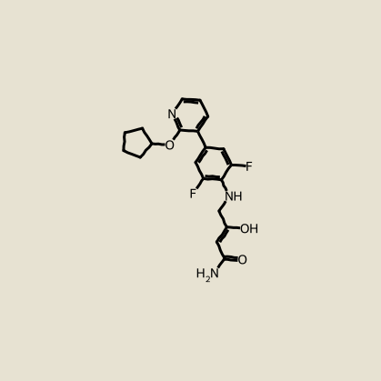 NC(=O)/C=C(\O)CNc1c(F)cc(-c2cccnc2OC2CCCC2)cc1F